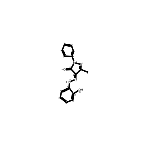 CC1=NN(c2ccccc2)C(=O)/C1=N\Nc1ccccc1O